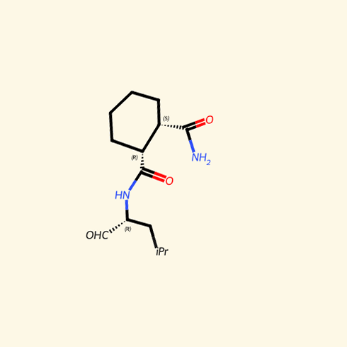 CC(C)C[C@H](C=O)NC(=O)[C@@H]1CCCC[C@@H]1C(N)=O